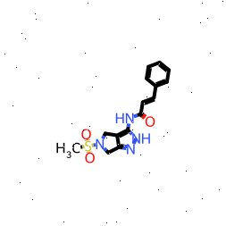 CS(=O)(=O)N1Cc2n[nH]c(NC(=O)C=Cc3ccccc3)c2C1